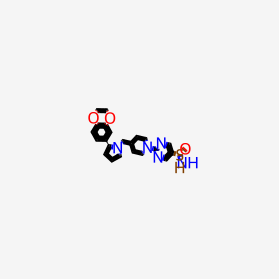 N=[SH](=O)c1cnc(N2CCC(CN3CCC[C@@H]3c3ccc4c(c3)OCCO4)CC2)nc1